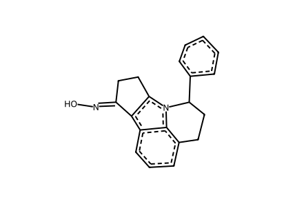 ON=C1CCc2c1c1cccc3c1n2C(c1ccccc1)CC3